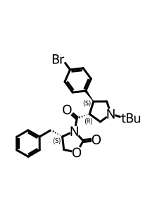 CC(C)(C)N1C[C@H](C(=O)N2C(=O)OC[C@@H]2Cc2ccccc2)[C@@H](c2ccc(Br)cc2)C1